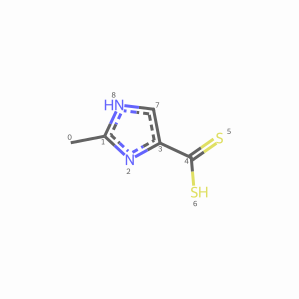 Cc1nc(C(=S)S)c[nH]1